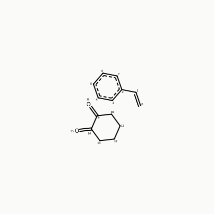 C=Cc1ccccc1.O=C1CCCCC1=O